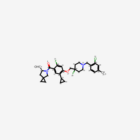 O=[C][C@@H]1CC2(CC2)CN1C(=O)c1cc(C2CC2)c(OCC2(F)CCN(Cc3ccc(C(F)(F)F)cc3Cl)CC2)cc1F